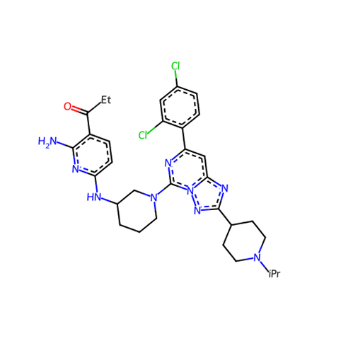 CCC(=O)c1ccc(NC2CCCN(c3nc(-c4ccc(Cl)cc4Cl)cc4nc(C5CCN(C(C)C)CC5)nn34)C2)nc1N